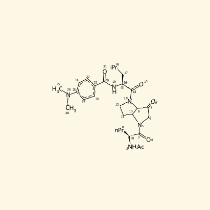 CCC[C@H](NC(C)=O)C(=O)N1CC(=O)C2C1CCN2C(=O)[C@H](CC(C)C)NC(=O)c1ccc(N(C)C)cc1